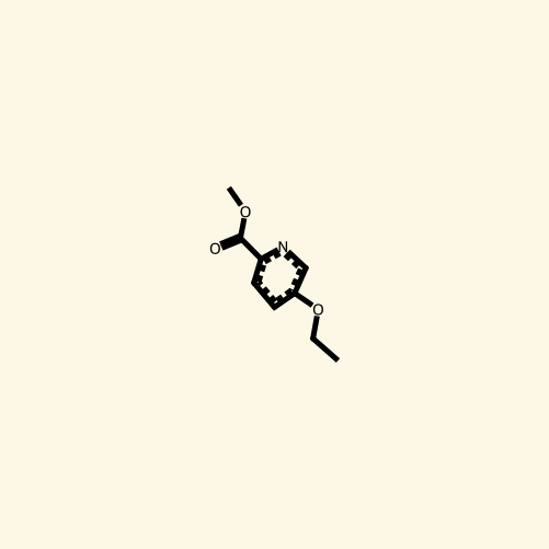 CCOc1ccc(C(=O)OC)nc1